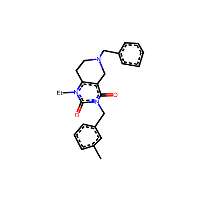 CCn1c2c(c(=O)n(Cc3cccc(C)c3)c1=O)CN(Cc1ccccc1)CC2